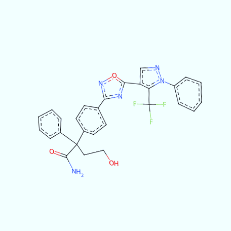 NC(=O)C(CCO)(c1ccccc1)c1ccc(-c2noc(-c3cnn(-c4ccccc4)c3C(F)(F)F)n2)cc1